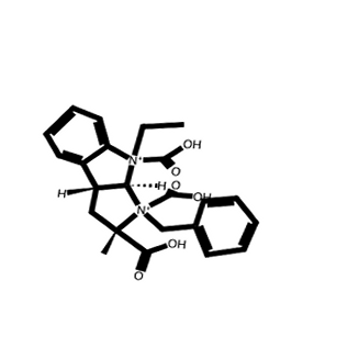 CC[N+]1(C(=O)O)c2ccccc2[C@H]2C[C@@](C)(C(=O)O)[N+](Cc3ccccc3)(C(=O)O)[C@@H]21